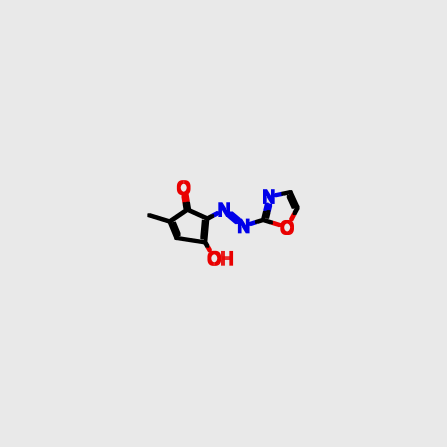 CC1=CC(O)=C(N=Nc2ncco2)C1=O